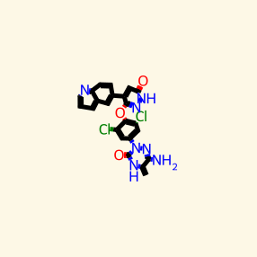 C=C1NC(=O)N(c2cc(Cl)c(Oc3n[nH]c(=O)cc3-c3ccc4ncccc4c3)c(Cl)c2)N=C1N